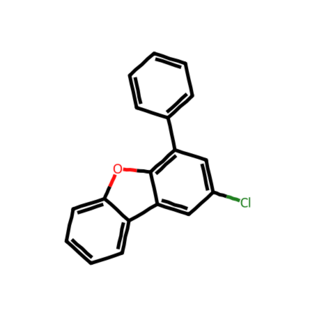 Clc1cc(-c2ccccc2)c2oc3ccccc3c2c1